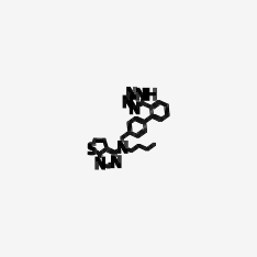 CCCCN(Cc1ccc(-c2ccccc2-c2nnn[nH]2)cc1)c1ncnc2sccc12